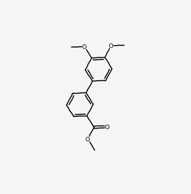 COC(=O)c1cc[c]c(-c2ccc(OC)c(OC)c2)c1